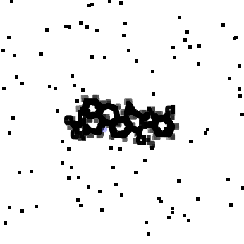 CC(c1ccc2c(c1)CCc1ccccc1/C2=C\c1noc(=O)[nH]1)n1c(C2CC2)nc2c(Cl)cccc21